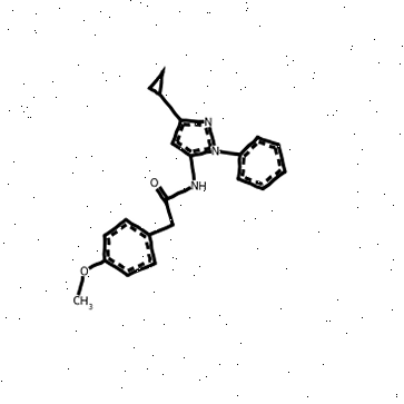 COc1ccc(CC(=O)Nc2cc(C3CC3)nn2-c2ccccc2)cc1